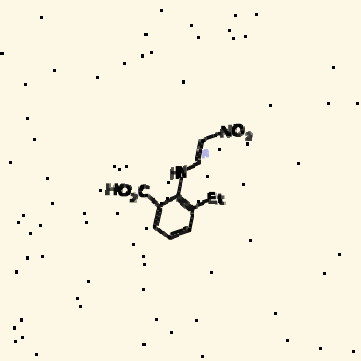 CCc1cccc(C(=O)O)c1N/C=C/[N+](=O)[O-]